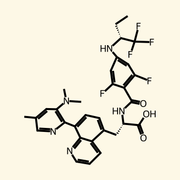 CC[C@@H](Nc1cc(F)c(C(=O)N[C@@H](Cc2ccc(-c3ncc(C)cc3N(C)C)c3ncccc23)C(=O)O)c(F)c1)C(F)(F)F